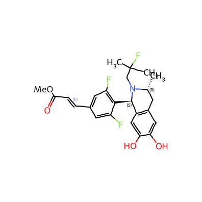 COC(=O)/C=C/c1cc(F)c([C@@H]2c3cc(O)c(O)cc3C[C@@H](C)N2CC(C)(C)F)c(F)c1